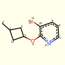 CC1CC(Oc2ncccc2Br)C1